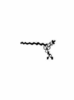 CCCCCCCCCCCCC(CO[Si](C)(C)C(C)(C)C)OC(=O)OCCCN(CC)CC